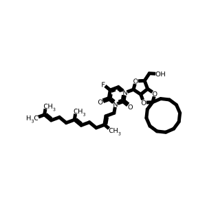 CC(C)=CCC/C(C)=C/CC/C(C)=C/Cn1c(=O)c(F)cn(C2OC(CO)C3OC4(CCCCCCCCCCC4)OC32)c1=O